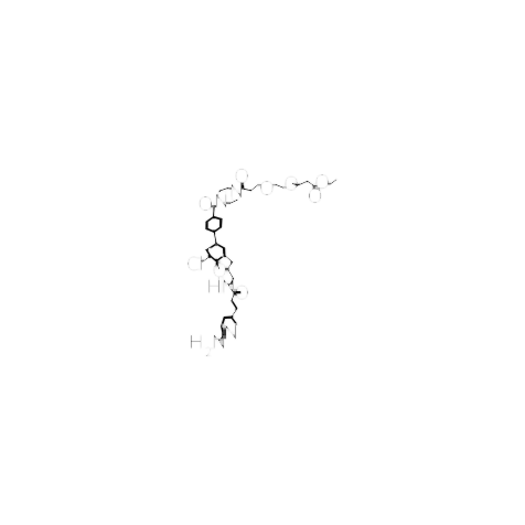 CCOC(=O)CCOCCOCCC(=O)N1CCN(C(=O)c2ccc(-c3cc(Cl)c4c(c3)CC(CNC(=O)/C=C/c3ccc(N)nc3)O4)cc2)CC1